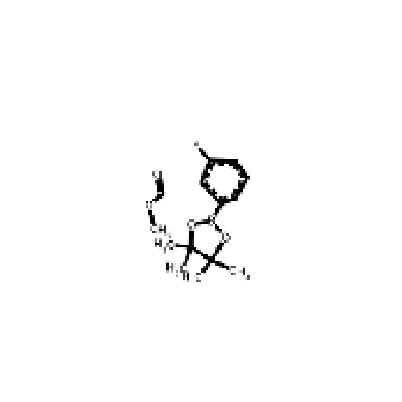 CC1(C)OB(c2cccc(F)c2)OC1(C)C.COC=O